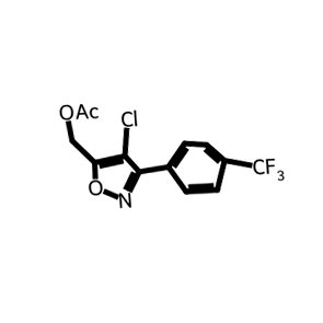 CC(=O)OCc1onc(-c2ccc(C(F)(F)F)cc2)c1Cl